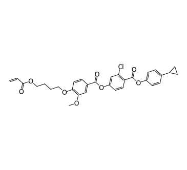 C=CC(=O)OCCCCOc1ccc(C(=O)Oc2ccc(C(=O)Oc3ccc(C4CC4)cc3)c(Cl)c2)cc1OC